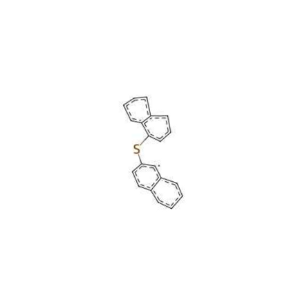 [c]1c(Sc2cccc3ccccc23)ccc2ccccc12